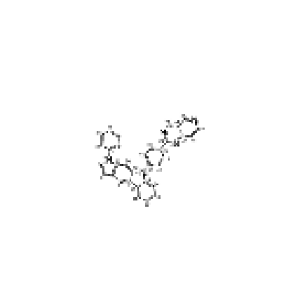 c1ccc(-n2ccc3cc4c5ccccc5n(-c5ccc(-c6ncc7cnccc7n6)cc5)c4cc32)cc1